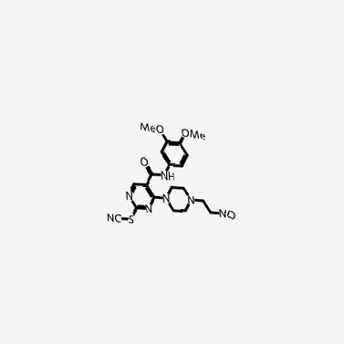 COc1ccc(NC(=O)c2cnc(SC#N)nc2N2CCN(CCN=O)CC2)cc1OC